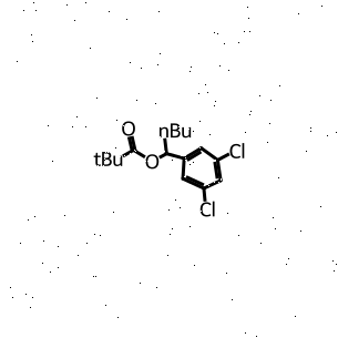 CCCCC(OC(=O)C(C)(C)C)c1cc(Cl)cc(Cl)c1